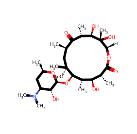 CC[C@H]1OC(=O)[C@H](C)[C@@H](O)[C@H](C)[C@@H](O[C@@H]2O[C@H](C)C[C@H](N(C)C)[C@H]2O)[C@](C)(OC)C[C@@H](C)C(=O)[C@H](C)[C@@H](O)[C@]1(C)O